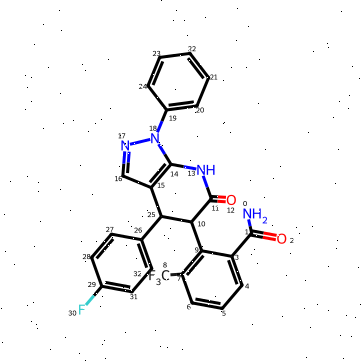 NC(=O)c1cccc(C(F)(F)F)c1C1C(=O)Nc2c(cnn2-c2ccccc2)C1c1ccc(F)cc1